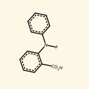 O=C(O)c1ccccc1N(F)c1ccccc1